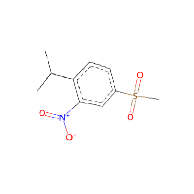 CC(C)c1ccc(S(C)(=O)=O)cc1[N+](=O)[O-]